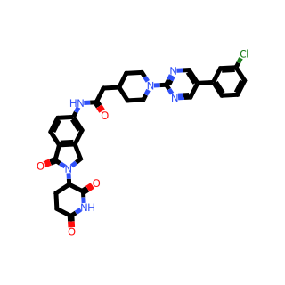 O=C1CCC(N2Cc3cc(NC(=O)CC4CCN(c5ncc(-c6cccc(Cl)c6)cn5)CC4)ccc3C2=O)C(=O)N1